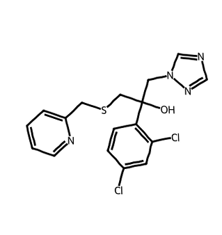 OC(CSCc1ccccn1)(Cn1cncn1)c1ccc(Cl)cc1Cl